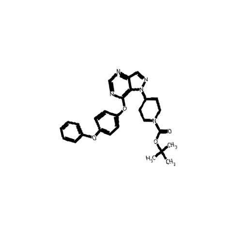 CC(C)(C)OC(=O)N1CCC(n2ncc3ncnc(Oc4ccc(Oc5ccccc5)cc4)c32)CC1